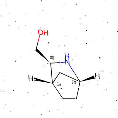 OC[C@H]1N[C@@H]2CC[C@H]1C2